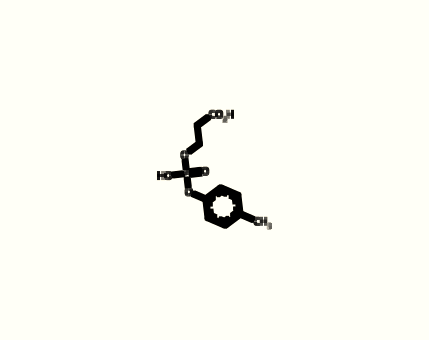 Cc1ccc(OP(=O)(O)OCCC(=O)O)cc1